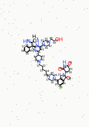 CC(=N)/C(=C1/N=C(C2CCN(CCCCCN3CCN(c4cc(F)cc5c4CN(C4CCC(=O)NC4=O)C5=O)CC3)CC2)C=C(N2CCN(CCO)CC2)N1)c1ccccc1